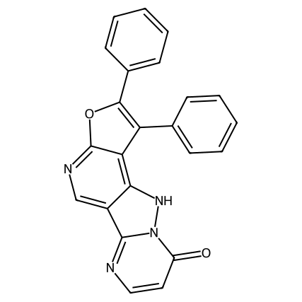 O=c1ccnc2c3cnc4oc(-c5ccccc5)c(-c5ccccc5)c4c3[nH]n12